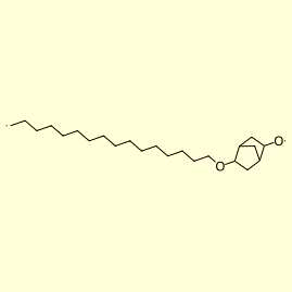 [CH2]CCCCCCCCCCCCCCCOC1CC2CC1CC2[O]